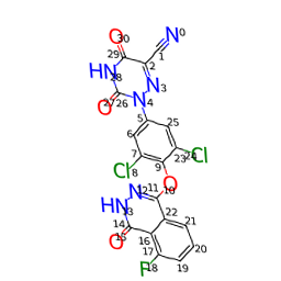 N#Cc1nn(-c2cc(Cl)c(Oc3n[nH]c(=O)c4c(F)cccc34)c(Cl)c2)c(=O)[nH]c1=O